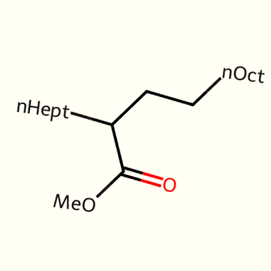 CCCCCCCCCCC(CCCCCCC)C(=O)OC